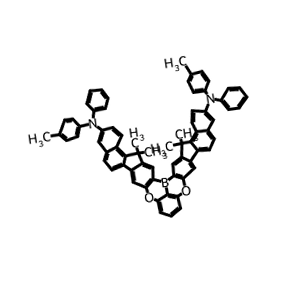 Cc1ccc(N(c2ccccc2)c2ccc3c4c(ccc3c2)-c2cc3c(cc2C4(C)C)B2c4cc5c(cc4Oc4cccc(c42)O3)-c2ccc3cc(N(c4ccccc4)c4ccc(C)cc4)ccc3c2C5(C)C)cc1